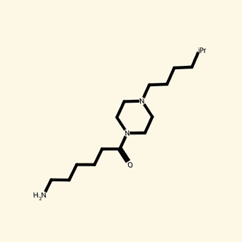 CC(C)CCCCN1CCN(C(=O)CCCCCN)CC1